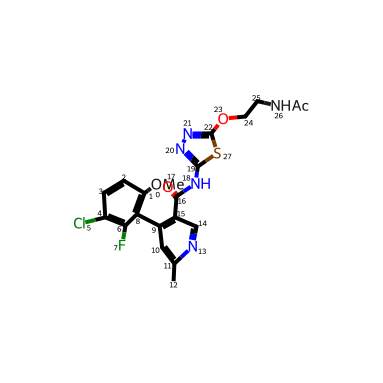 COc1ccc(Cl)c(F)c1-c1cc(C)ncc1C(=O)Nc1nnc(OCCNC(C)=O)s1